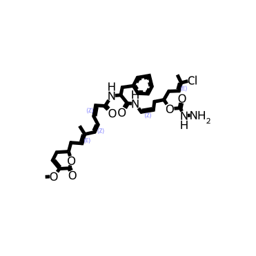 COC1=CCC(C/C=C(C)/C=C\C=C/C(=O)NC(Cc2ccccc2)C(=O)N/C=C\CC(C/C=C(\C)Cl)OC(=O)NN)OC1=O